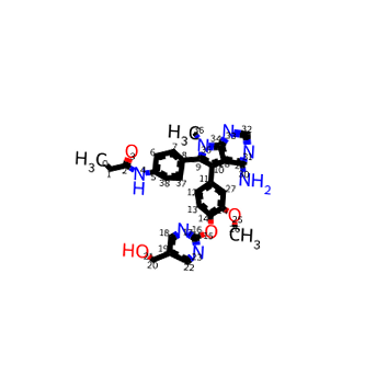 CCC(=O)Nc1ccc(-c2c(-c3ccc(Oc4ncc(CO)cn4)c(OC)c3)c3c(N)ncnc3n2C)cc1